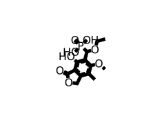 CCOC(c1c(O)c2c(c(C)c1OC)COC2=O)P(=O)(O)O